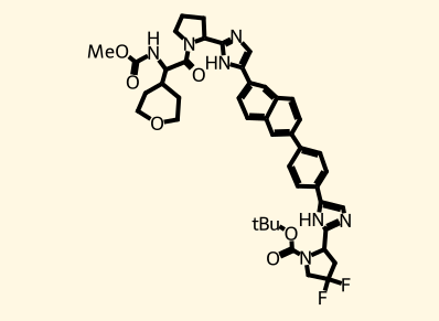 COC(=O)NC(C(=O)N1CCCC1c1ncc(-c2ccc3cc(-c4ccc(-c5cnc(C6CC(F)(F)CN6C(=O)OC(C)(C)C)[nH]5)cc4)ccc3c2)[nH]1)C1CCOCC1